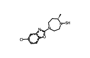 C[C@@H]1CCN(c2nc3cc(Cl)ccc3o2)CCN1S